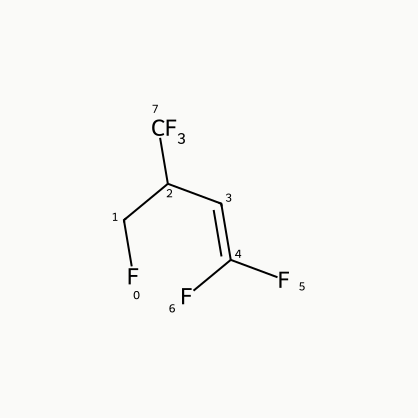 FCC(C=C(F)F)C(F)(F)F